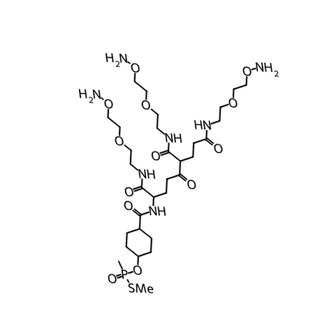 CSP(C)(=O)OC1CCC(C(=O)NC(CCC(=O)C(CCC(=O)NCCOCCON)C(=O)NCCOCCON)C(=O)NCCOCCON)CC1